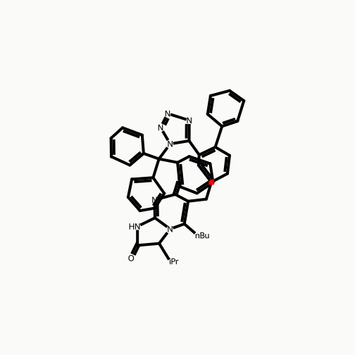 CCCCc1c(Cc2ccc(-c3ccccc3)c(-c3nnnn3C(c3ccccc3)(c3ccccc3)c3ccccc3)c2)c(=O)nc2n1C(C(C)C)C(=O)N2